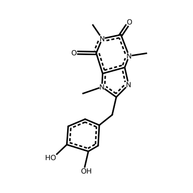 Cn1c(=O)c2c(nc(Cc3ccc(O)c(O)c3)n2C)n(C)c1=O